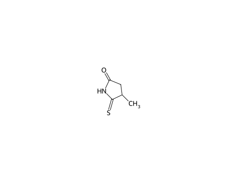 CC1CC(=O)NC1=S